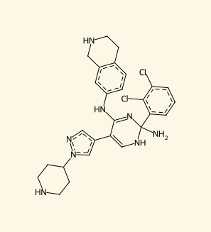 NC1(c2cccc(Cl)c2Cl)N=C(Nc2ccc3c(c2)CNCC3)C(c2cnn(C3CCNCC3)c2)=CN1